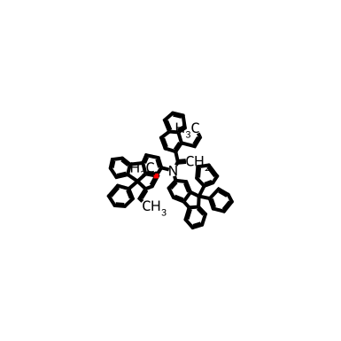 C=C(c1ccc2ccccc2c1/C=C\C)N(c1ccc2c(c1)C(C(/C=C\C)=C/C)(c1ccccc1)c1ccccc1-2)c1ccc2c(c1)C(c1ccccc1)(c1ccccc1)c1ccccc1-2